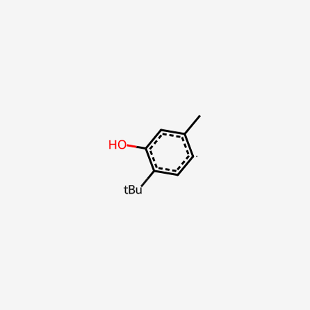 Cc1[c]cc(C(C)(C)C)c(O)c1